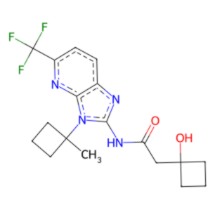 CC1(n2c(NC(=O)CC3(O)CCC3)nc3ccc(C(F)(F)F)nc32)CCC1